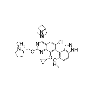 Cc1ccc2[nH]ncc2c1-c1c(Cl)cc2c(N3CC4CC(C3)N4)nc(OC[C@@H]3CCCN3C)nc2c1OC1CC1